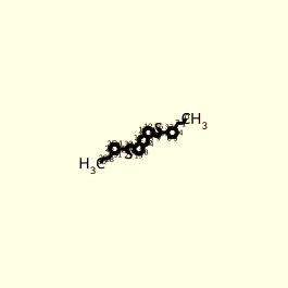 CCCc1cccc(-c2cc3c(ccc4cc5c(ccc6sc(-c7cccc(CCC)c7)cc65)cc43)s2)c1